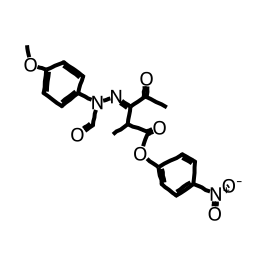 COc1ccc(N(C=O)/N=C(/C(C)=O)C(C)C(=O)Oc2ccc([N+](=O)[O-])cc2)cc1